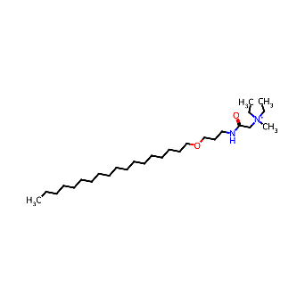 CCCCCCCCCCCCCCCCCCOCCCNC(=O)C[N+](C)(CC)CC